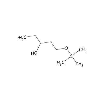 [CH2]CC(O)CCO[Si](C)(C)C